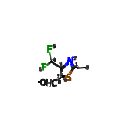 Cc1nc(C(F)F)c([C]=O)s1